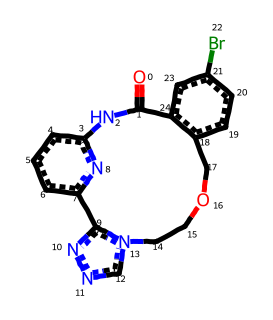 O=C1Nc2cccc(n2)-c2nncn2CCOCc2ccc(Br)cc21